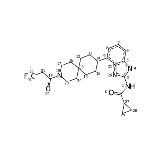 O=C(Nc1nc2cccc(C3CCC4(CC3)CCN(C(=O)CC(F)(F)F)CC4)n2n1)C1CC1